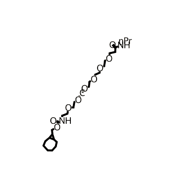 CCCNC(=O)CCOCCOCCOCCOCCOCCOCCNC(=O)OCC1C2CCCCCCC21